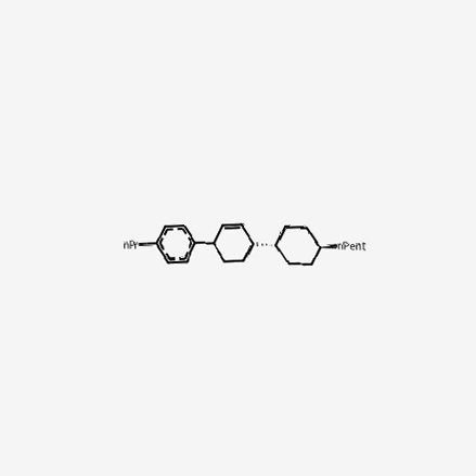 CCCCC[C@H]1CC[C@H](C2C=CC(c3ccc(CCC)cc3)CC2)CC1